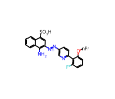 CCCOc1cccc(F)c1-c1ccc(/N=N/c2cc(S(=O)(=O)O)c3ccccc3c2N)cn1